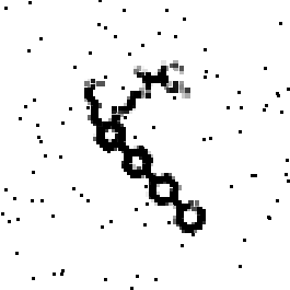 C=C(C)C(=O)OCCOc1cc(-c2ccc(C3CCC(C4CCCCO4)CC3)cc2)ccc1CCCO